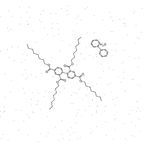 CCCCCCCCOC(=O)c1ccc(-c2ccc(C(=O)OCCCCCCCC)cc2C(=O)OCCCCCCCC)c(C(=O)OCCCCCCCC)c1.O.c1ccc(-c2ccccc2)cc1